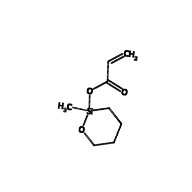 C=CC(=O)O[Si]1(C)CCCCO1